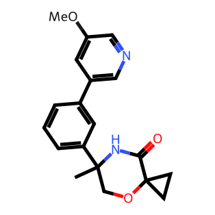 COc1cncc(-c2cccc(C3(C)COC4(CC4)C(=O)N3)c2)c1